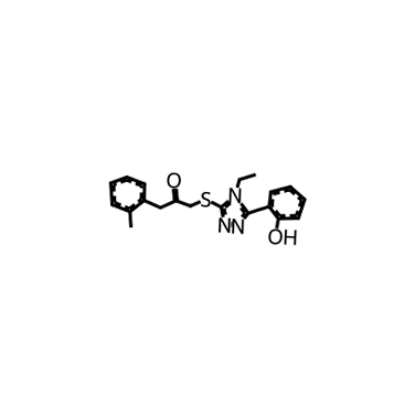 CCn1c(SCC(=O)Cc2ccccc2C)nnc1-c1ccccc1O